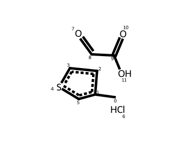 Cc1ccsc1.Cl.O=CC(=O)O